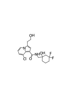 O=C(NCC1(O)CCCC(F)(F)C1)c1cc(CCO)n2cccc(Cl)c12